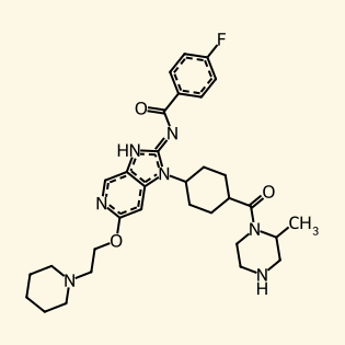 CC1CNCCN1C(=O)C1CCC(n2c(=NC(=O)c3ccc(F)cc3)[nH]c3cnc(OCCN4CCCCC4)cc32)CC1